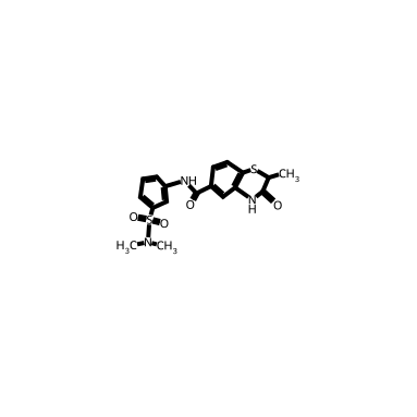 CC1Sc2ccc(C(=O)Nc3cccc(S(=O)(=O)N(C)C)c3)cc2NC1=O